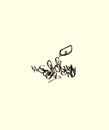 C[C@@H](CC(C)(C)O)N1Cc2cc(NC(=O)c3cnn4cccnc34)c(N3CCC(C4COC4)CC3)cc2C1=O